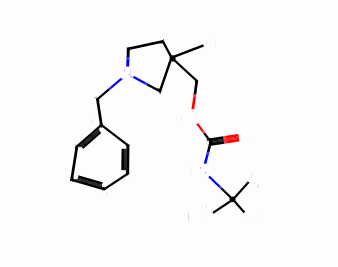 CC1(COC(=O)NC(C)(C)C)CCN(Cc2ccccc2)C1